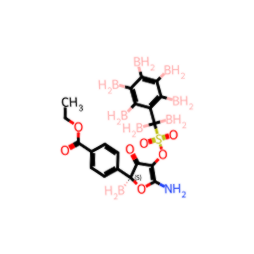 Bc1c(B)c(B)c(C(B)(B)S(=O)(=O)OC2=C(N)O[C@@](B)(c3ccc(C(=O)OCC)cc3)C2=O)c(B)c1B